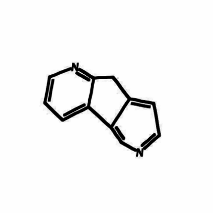 c1cnc2c(c1)-c1cnccc1C2